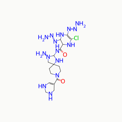 NN=NC1=C(Cl)NC(C(=O)NC2NC3(CCN(C(=O)C4=CNCNC4)CC3)CN2N)C(N=NN)N1